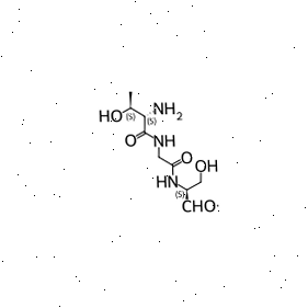 C[C@H](O)[C@H](N)C(=O)NCC(=O)N[C@H]([C]=O)CO